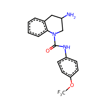 NC1Cc2ccccc2N(C(=O)Nc2ccc(OC(F)(F)F)cc2)C1